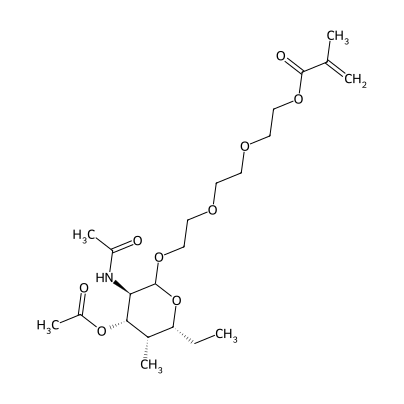 C=C(C)C(=O)OCCOCCOCCOC1O[C@H](CC)[C@H](C)[C@H](OC(C)=O)[C@H]1NC(C)=O